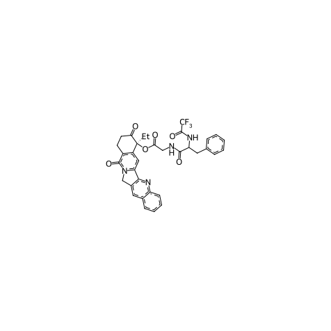 CC[C@@]1(OC(=O)CNC(=O)C(Cc2ccccc2)NC(=O)C(F)(F)F)C(=O)CCc2c1cc1n(c2=O)Cc2cc3ccccc3nc2-1